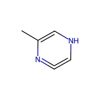 CC1=CNC=C=N1